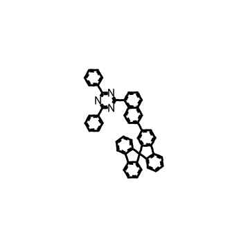 c1ccc(-c2nc(-c3ccccc3)nc(-c3cccc4cc(-c5ccc6c(c5)C5(c7ccccc7-c7ccccc75)c5ccccc5-6)ccc34)n2)cc1